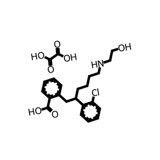 O=C(O)C(=O)O.O=C(O)c1ccccc1CC(CCCCNCCO)c1ccccc1Cl